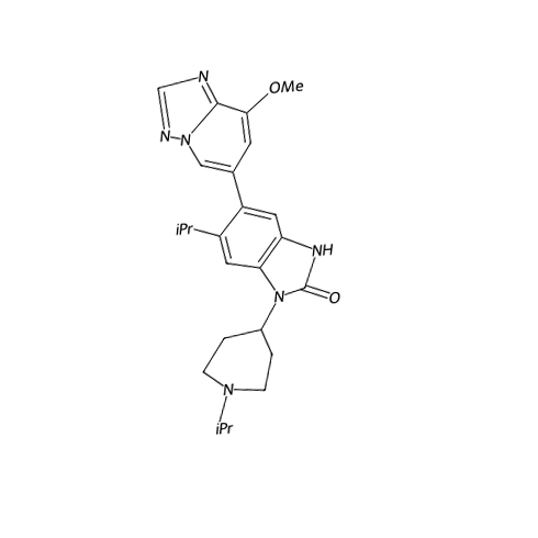 COc1cc(-c2cc3[nH]c(=O)n(C4CCN(C(C)C)CC4)c3cc2C(C)C)cn2ncnc12